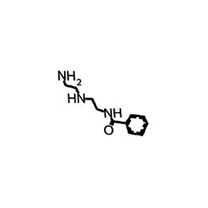 NCCNCCNC(=O)c1ccccc1